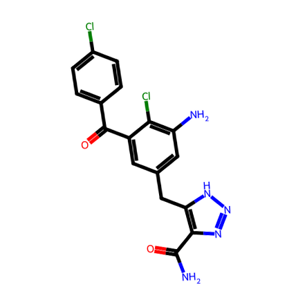 NC(=O)c1nn[nH]c1Cc1cc(N)c(Cl)c(C(=O)c2ccc(Cl)cc2)c1